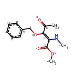 CN/C(C(=O)OC)=C(/OCc1ccccc1)C(C)=O